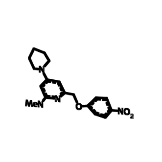 CNc1cc(N2CCCCC2)cc(COc2ccc([N+](=O)[O-])cc2)n1